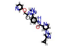 CC(COc1cccnc1)n1cnnc1-c1cccc(NC(=O)c2cc(-n3cnc(C4CC4)c3)ccn2)c1